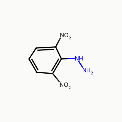 NNc1c([N+](=O)[O-])cccc1[N+](=O)[O-]